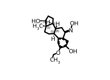 CCOc1cc2c(cc1O)C(=NO)C[C@@H]1[C@@H]2CC[C@]2(C)[C@@H](O)CC[C@@H]12